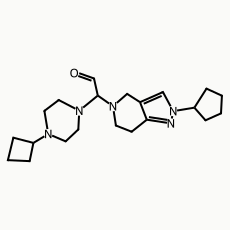 O=CC(N1CCN(C2CCC2)CC1)N1CCc2nn(C3CCCC3)cc2C1